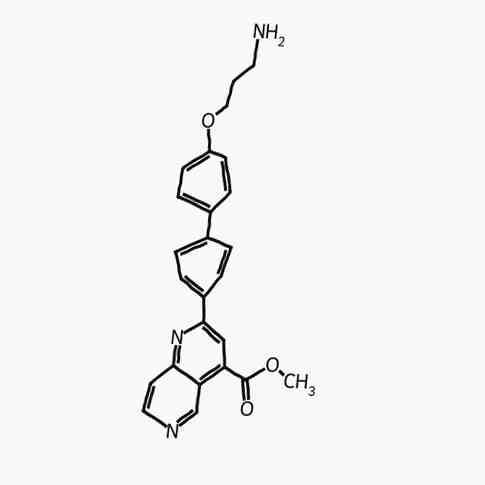 COC(=O)c1cc(-c2ccc(-c3ccc(OCCCN)cc3)cc2)nc2ccncc12